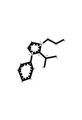 CCC[n+]1ccn(-c2ccccc2)c1C(C)C